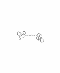 O=C(CCCCCCC(=O)On1ccccc1=S)On1ccccc1=O